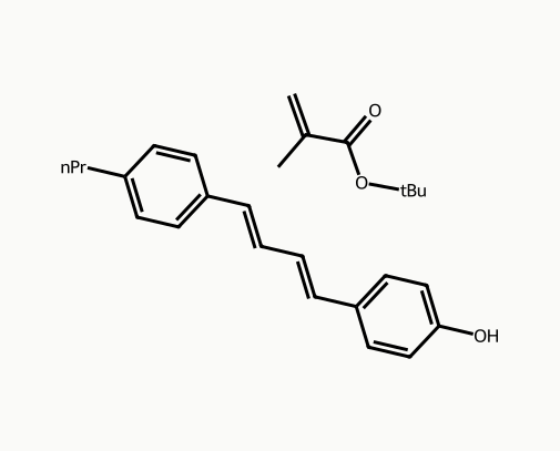 C=C(C)C(=O)OC(C)(C)C.CCCc1ccc(C=CC=Cc2ccc(O)cc2)cc1